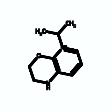 CC(C)[n+]1cccc2c1OCCN2